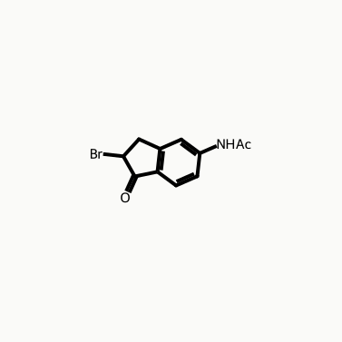 CC(=O)Nc1ccc2c(c1)CC(Br)C2=O